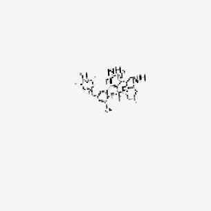 Cc1ccc2c(-c3nc(N)nc(-c4cc(CN5C[C@@H](C)N[C@@H](C)C5)cc(C5CC5)c4)c3C(F)(F)F)c[nH]c2c1